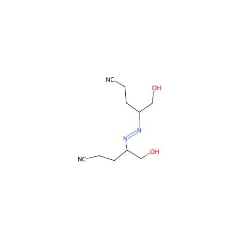 N#CCCC(CO)N=NC(CO)CCC#N